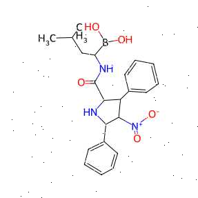 CC(C)CC(NC(=O)C1NC(c2ccccc2)C([N+](=O)[O-])C1c1ccccc1)B(O)O